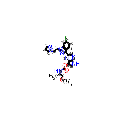 COC[C@H](C)NC(=O)Oc1c[nH]c2ncc(-c3nn(CCn4cccn4)c4cc(F)ccc34)nc12